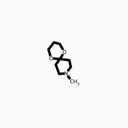 CN1CCC2(CC1)OCCCO2